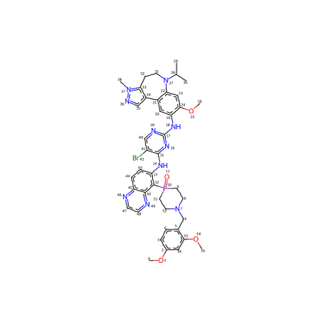 COc1ccc(CN2CCP(=O)(c3c(Nc4nc(Nc5cc6c(cc5OC)N(C(C)C)CCc5c-6cnn5C)ncc4Br)ccc4nccnc34)CC2)c(OC)c1